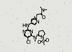 CN(C)C(=O)Cn1cc(Nc2ncc(Cl)c(N(C)[C@@H]3CCCN3S(C)(=O)=O)n2)cn1